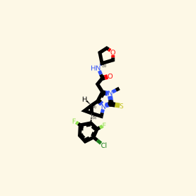 Cn1c(CC(=O)N[C@H]2CCOC2)c2n(c1=S)C[C@@]1(c3c(F)ccc(Cl)c3F)C[C@@H]21